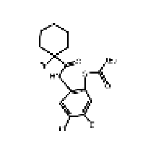 CC(C)C1(C(=O)Nc2cc(Cl)c(Cl)cc2SC(=O)C(C)(C)C)CCCCC1